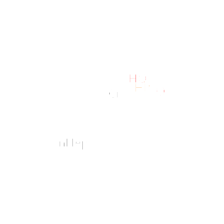 CCCCCCCCCc1ccc([PH](=O)O)cc1.[Cr]